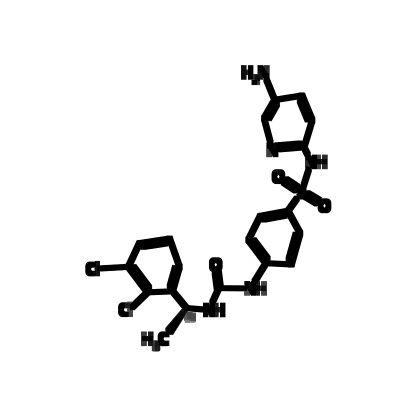 C[C@H](NC(=O)Nc1ccc(S(=O)(=O)Nc2ccc(N)cn2)cc1)c1cccc(Cl)c1Cl